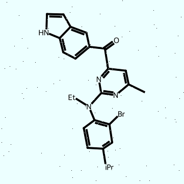 CCN(c1nc(C)cc(C(=O)c2ccc3[nH]ccc3c2)n1)c1ccc(C(C)C)cc1Br